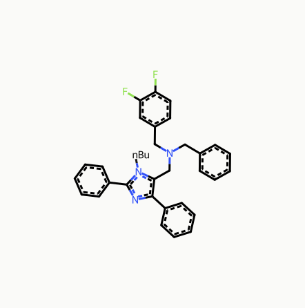 CCCCn1c(-c2ccccc2)nc(-c2ccccc2)c1CN(Cc1ccccc1)Cc1ccc(F)c(F)c1